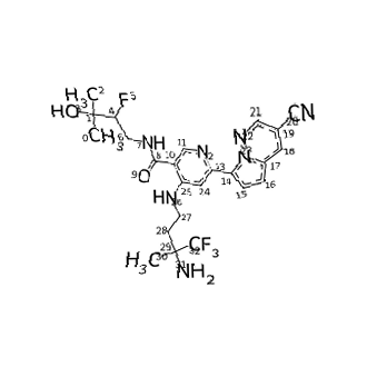 CC(C)(O)C(F)CNC(=O)c1cnc(-c2ccc3cc(C#N)cnn23)cc1NCCC(C)(N)C(F)(F)F